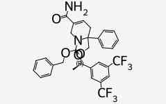 C[C@@H](OCC1(c2ccccc2)CC=C(C(N)=O)CN1C(=O)OCc1ccccc1)c1cc(C(F)(F)F)cc(C(F)(F)F)c1